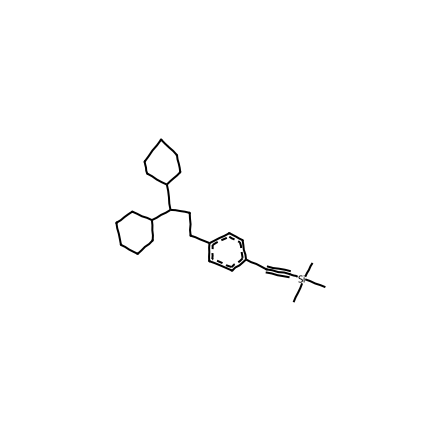 C[Si](C)(C)C#Cc1ccc(CCC(C2CCCCC2)C2CCCCC2)cc1